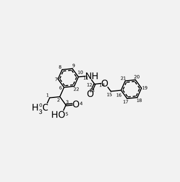 CCC(C(=O)O)c1cccc(NC(=O)OCc2ccccc2)c1